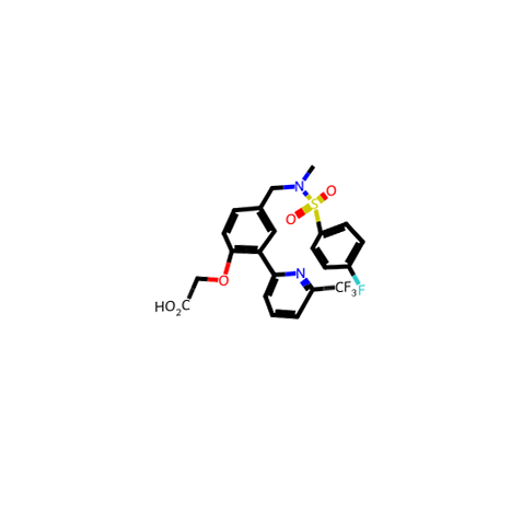 CN(Cc1ccc(OCC(=O)O)c(-c2cccc(C(F)(F)F)n2)c1)S(=O)(=O)c1ccc(F)cc1